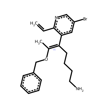 C=Cc1ncc(Br)cc1/C(CCCCN)=C(\C)OCc1ccccc1